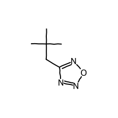 CC(C)(C)Cc1nnon1